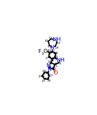 O=c1c2c[nH]c3cc(N4CCCNCC4)c(C(F)(F)F)cc3c-2nn1-c1ccccc1